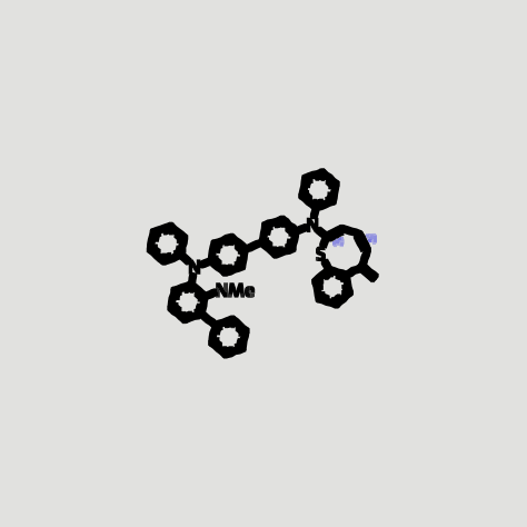 C=C1/C=C\C=C(\N(c2ccccc2)c2ccc(-c3ccc(N(c4ccccc4)c4cccc(-c5ccccc5)c4NC)cc3)cc2)Sc2ccccc21